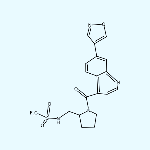 O=C(c1ccnc2cc(-c3cnoc3)ccc12)N1CCCC1CNS(=O)(=O)C(F)(F)F